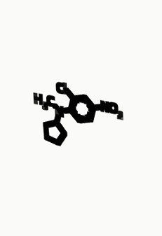 CN(c1ccc([N+](=O)[O-])cc1Cl)C1CCCC1